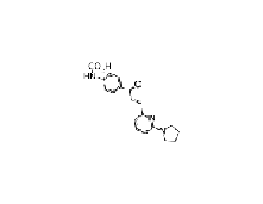 O=C(O)Nc1ccc(C(=O)C=Cc2cccc(N3CCCC3)n2)cc1